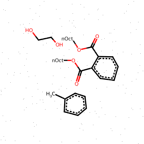 CCCCCCCCOC(=O)c1ccccc1C(=O)OCCCCCCCC.Cc1ccccc1.OCCO